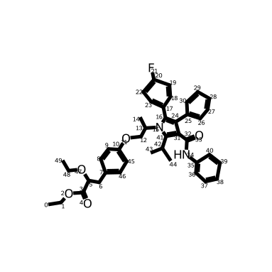 CCOC(=O)C(Cc1ccc(OCC(C)n2c(-c3ccc(F)cc3)c(-c3ccccc3)c(C(=O)Nc3ccccc3)c2C(C)C)cc1)OCC